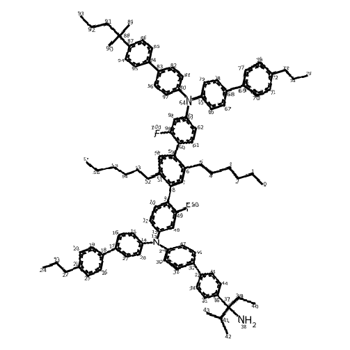 CCCCCCc1cc(-c2ccc(N(c3ccc(-c4ccc(CCC)cc4)cc3)c3ccc(-c4ccc(C(N)(CC)C(C)C)cc4)cc3)cc2F)c(CCCCCC)cc1-c1ccc(N(c2ccc(-c3ccc(CCC)cc3)cc2)c2ccc(-c3ccc(C(C)(C)CCC)cc3)cc2)cc1F